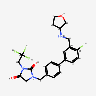 O=C1CN(Cc2ccc(-c3ccc(F)c(CN[C@H]4CCOC4)c3)cc2)C(=O)N1CC(F)(F)F